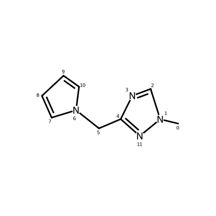 Cn1cnc(Cn2cccc2)n1